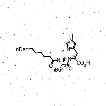 CCCCCCCCCCCCCCCC(=O)N[C@H](C(=O)N[C@@H](Cc1c[nH]cn1)C(=O)O)[C@@H](C)CC